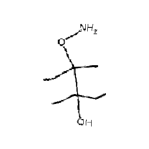 CC(C)(O)C(C)(C)ON